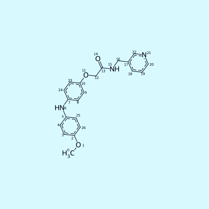 COc1ccc(Nc2ccc(OCC(=O)NCc3cccnc3)cc2)cc1